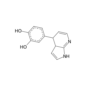 Oc1ccc(C2C=CN=C3NC=CC32)cc1O